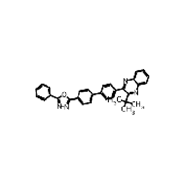 CC(C)(C)c1nc2ccccc2nc1-c1ccc(-c2ccc(-c3nnc(-c4ccccc4)o3)cc2)cc1